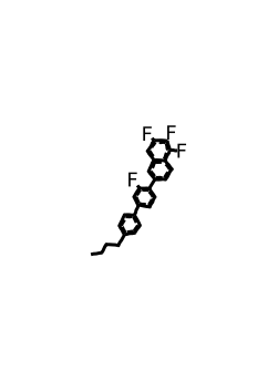 CCCCc1ccc(-c2ccc(-c3ccc4c(F)c(F)c(F)cc4c3)c(F)c2)cc1